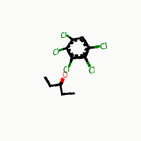 CCC(=O)CC.Clc1cc(Cl)c(Cl)c(Cl)c1Cl